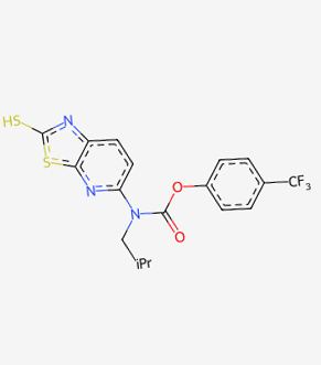 CC(C)CN(C(=O)Oc1ccc(C(F)(F)F)cc1)c1ccc2nc(S)sc2n1